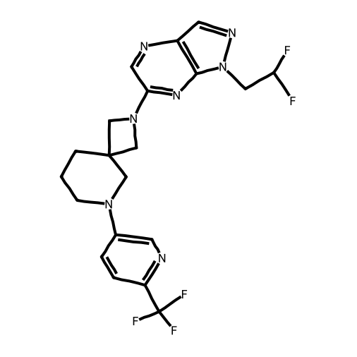 FC(F)Cn1ncc2ncc(N3CC4(CCCN(c5ccc(C(F)(F)F)nc5)C4)C3)nc21